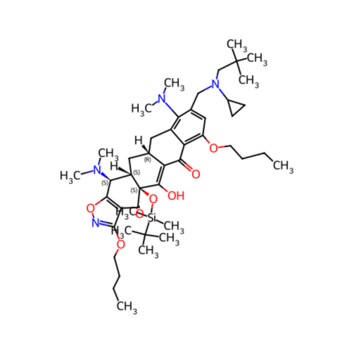 CCCCOc1cc(CN(CC(C)(C)C)C2CC2)c(N(C)C)c2c1C(=O)C1=C(O)[C@]3(O[Si](C)(C)C(C)(C)C)C(=O)c4c(OCCCC)noc4[C@@H](N(C)C)[C@@H]3C[C@@H]1C2